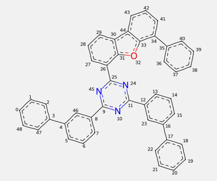 c1ccc(-c2cccc(-c3nc(-c4cccc(-c5ccccc5)c4)nc(-c4cccc5c4oc4c(-c6ccccc6)cccc45)n3)c2)cc1